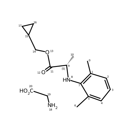 Cc1cccc(C)c1N[C@@H](C)C(=O)OCC1CC1.NCC(=O)O